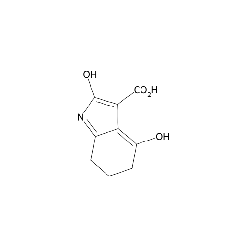 O=C(O)C1=C(O)N=C2CCCC(O)=C21